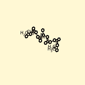 CC1(C)c2ccccc2-c2ccc(-n3c4ccccc4c4ccc(-c5ccc6c7ccccc7n(-c7cccc(-c8cc(-c9ccccc9)nc(-n9c%10ccccc%10c%10ccc(-c%11ccc%12c%13ccccc%13n(-c%13ccc%14c(c%13)C(C)(C)c%13ccccc%13-%14)c%12c%11)cc%109)n8)c7)c6c5)cc43)cc21